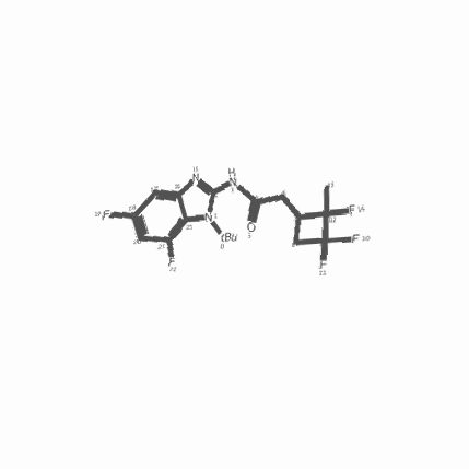 CC(C)(C)n1c(NC(=O)CC2CC(F)(F)C2(C)F)nc2cc(F)cc(F)c21